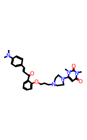 CN(C)c1ccc(C=CC(=O)c2ccccc2OCCCN2CCN(c3cc(=O)n(C)c(=O)n3C)CC2)cc1